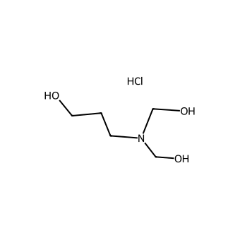 Cl.OCCCN(CO)CO